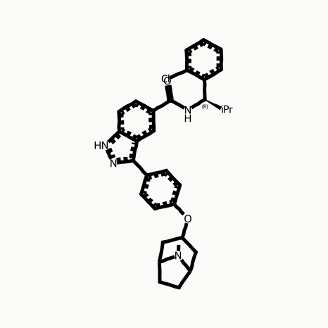 CC(C)[C@@H](NC(=O)c1ccc2[nH]nc(-c3ccc(OC4CC5CCC(C4)N5C)cc3)c2c1)c1ccccc1Cl